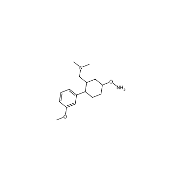 COc1cccc(C2CCC(ON)CC2CN(C)C)c1